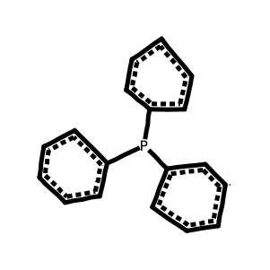 [c]1cccc(P(c2ccccc2)c2ccccc2)c1